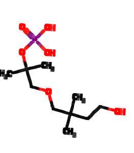 CC(C)(CCO)COCC(C)(C)OP(=O)(O)O